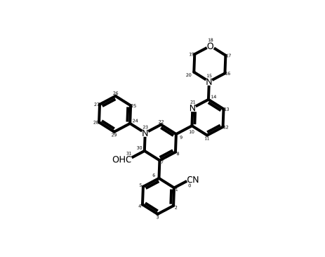 N#Cc1ccccc1C1=CC(c2cccc(N3CCOCC3)n2)=CN(c2ccccc2)C1C=O